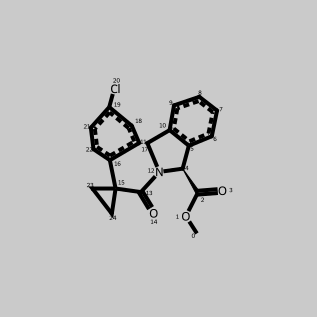 COC(=O)[C@@H]1c2ccccc2CN1C(=O)C1(c2ccc(Cl)cc2)CC1